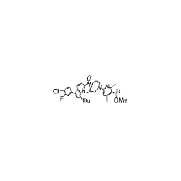 COC(=O)c1c(C)cc(N2CCN(C(=O)c3ccc4c(-c5ccc(Cl)c(F)c5)cn(C(C)(C)C)c4n3)[C@H](C)C2)nc1C